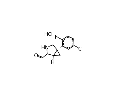 Cl.O=CC1NC[C@@]2(c3cc(Cl)ccc3F)C[C@@H]12